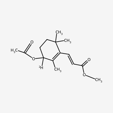 [2H]C1(OC(C)=O)CCC(C)(C)C(/C=C/C(=O)OC)=C1C